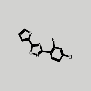 Fc1cc(Cl)ccc1-c1noc(-c2cccs2)n1